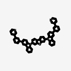 c1cncc(-c2cccc(-c3ccc4c(c3)c3ccccc3n4-c3ccc4c(c3)oc3cc(-n5c6ccccc6c6cc(-c7cccc(-c8cccnc8)c7)ccc65)ccc34)c2)c1